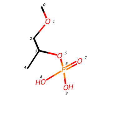 COCC(C)OP(=O)(O)O